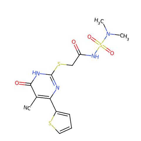 CN(C)S(=O)(=O)NC(=O)CSc1nc(-c2cccs2)c(C#N)c(=O)[nH]1